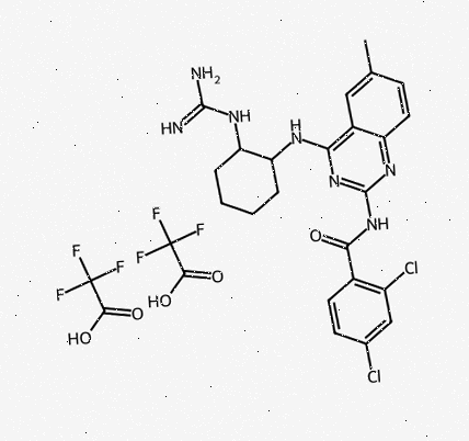 Cc1ccc2nc(NC(=O)c3ccc(Cl)cc3Cl)nc(NC3CCCCC3NC(=N)N)c2c1.O=C(O)C(F)(F)F.O=C(O)C(F)(F)F